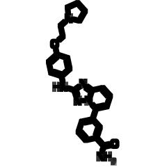 NC(=O)c1cccc(-c2cccc3nc(Nc4ccc(OCCN5CCCC5)cc4)nn23)c1